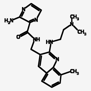 Cc1cccc2cc(CNC(=O)c3nccnc3N)c(NCCN(C)C)nc12